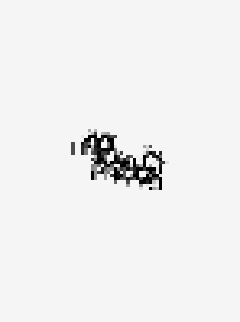 CC(C)CN(Cc1cc(Cl)c2c(c1)CCCCO2)C(=O)C(C)CN(C)c1cccc2cc[nH]c12